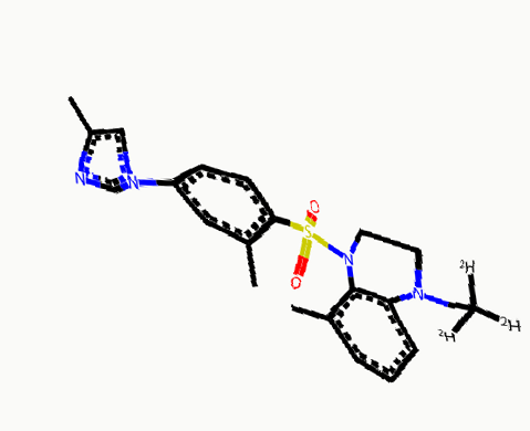 [2H]C([2H])([2H])N1CCN(S(=O)(=O)c2ccc(-n3cnc(C)c3)cc2C)c2c(C)cccc21